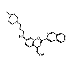 CN1CCN(CCCNc2ccc3/c(=N/O)cc(-c4cc5ccccc5cn4)oc3c2)CC1